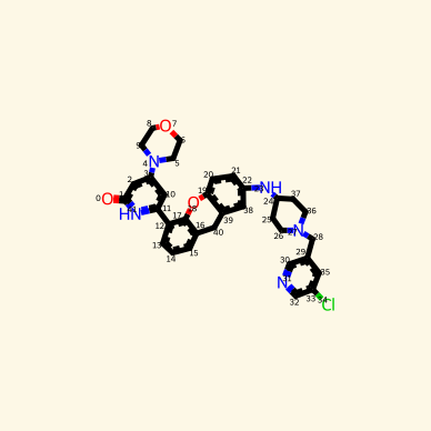 O=c1cc(N2CCOCC2)cc(-c2cccc3c2Oc2ccc(NC4CCN(Cc5cncc(Cl)c5)CC4)cc2C3)[nH]1